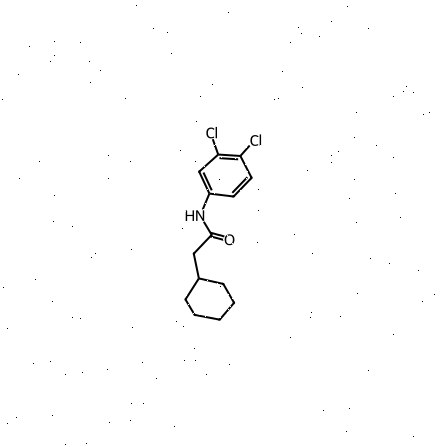 O=C(CC1CCCCC1)Nc1ccc(Cl)c(Cl)c1